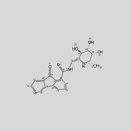 C[C@@H]1N/C(=C\NC(=O)c2cccc3c2C(=O)c2ccccc2-3)[C@@H](O)[C@H](O)[C@@H]1O